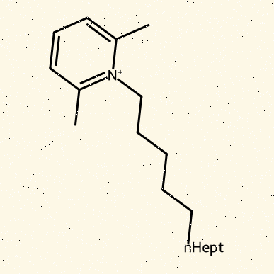 CCCCCCCCCCCC[n+]1c(C)cccc1C